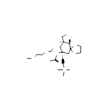 COCCOCO[C@@H]1[C@@H]2CON=C2C2(C[C@]1(C#C[Si](C)(C)C)OC(C)=O)OCCO2